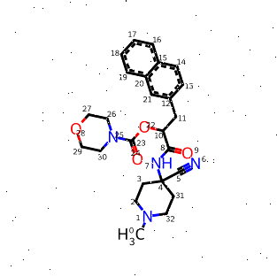 CN1CCC(C#N)(NC(=O)C(Cc2ccc3ccccc3c2)OC(=O)N2CCOCC2)CC1